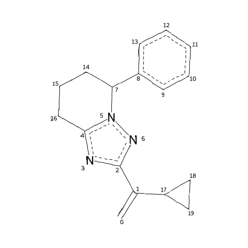 C=C(c1nc2n(n1)C(c1ccccc1)CCC2)C1CC1